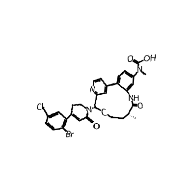 C[C@@H]1CCC[C@H](N2CCC(c3cc(Cl)ccc3Br)=CC2=O)c2cc(ccn2)-c2ccc(N(C)C(=O)O)cc2NC1=O